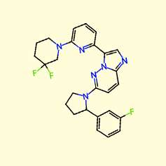 Fc1cccc(C2CCCN2c2ccc3ncc(-c4cccc(N5CCCC(F)(F)C5)n4)n3n2)c1